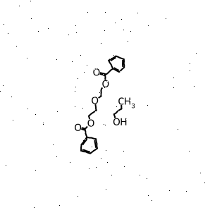 CCCO.O=C(OCCOCCOC(=O)c1ccccc1)c1ccccc1